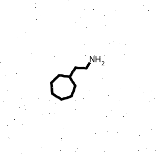 NCCC1CCCCCC1